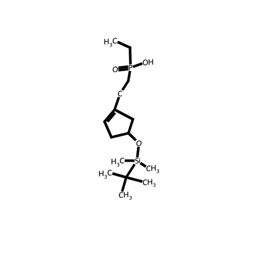 CCP(=O)(O)CCC1=CCC(O[Si](C)(C)C(C)(C)C)C1